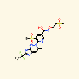 CCS(=O)(=O)c1cc(C(O)=NOCCS(C)(=O)=O)cnc1N1NC2=NC(C(F)(F)C(F)(F)F)=NC2=CC1C